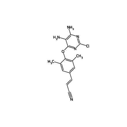 Cc1cc(/C=C/C#N)cc(C)c1Oc1nc(Cl)nc(N)c1N